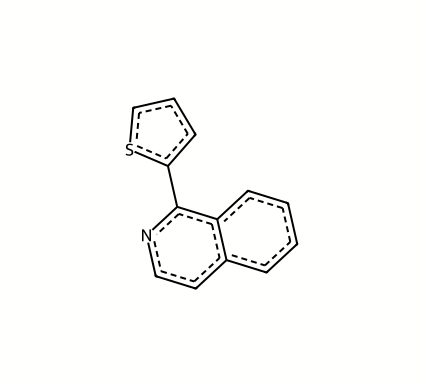 c1csc(-c2nccc3ccccc23)c1